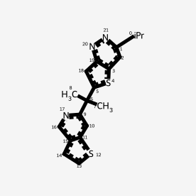 CC(C)c1cc2sc(C(C)(C)c3cc4sccc4cn3)cc2nn1